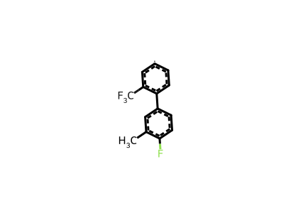 Cc1cc(-c2cc[c]cc2C(F)(F)F)ccc1F